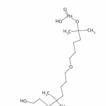 CC(C)(CCCO)CCCCOCCCCC(C)(C)O[PH](=O)O